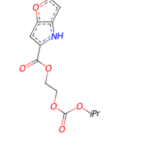 CC(C)OC(=O)OCCOC(=O)c1cc2occc2[nH]1